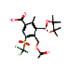 CC(=O)OCc1c(S(=O)(=O)C(F)(F)F)cc(C(=O)O)c(C)c1B1OC(C)(C)C(C)(C)O1